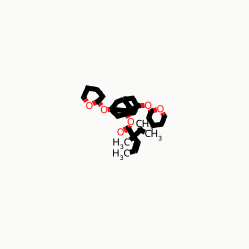 C/C=C\C(C)(C(=O)OC12CC3CC(OC4CCCCO4)(C1)CC(OC1CCCCO1)(C3)C2)C(C)C